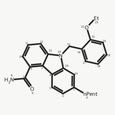 CCCCCc1c[c]c2c3c(C(N)=O)cccc3n(Cc3ccccc3OCC)c2c1